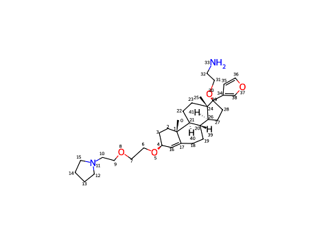 C[C@]12CC[C@H](OCCOCCN3CCCC3)C=C1CC[C@@H]1[C@@H]2CC[C@@]2(C)[C@H]1CC[C@@]2(OCCN)c1ccoc1